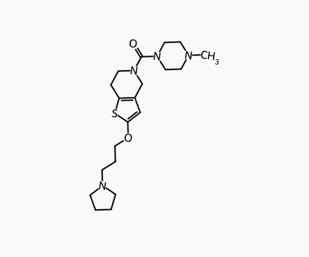 CN1CCN(C(=O)N2CCc3sc(OCCCN4CCCC4)cc3C2)CC1